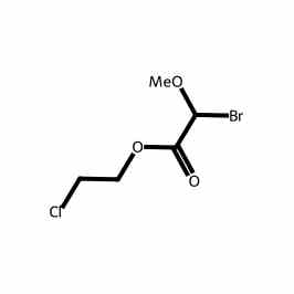 COC(Br)C(=O)OCCCl